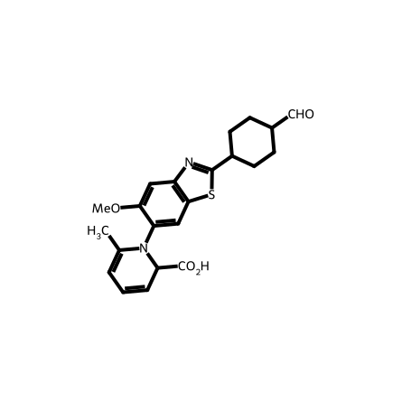 COc1cc2nc(C3CCC(C=O)CC3)sc2cc1N1C(C)=CC=CC1C(=O)O